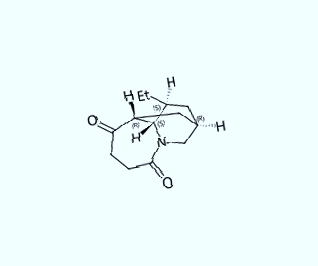 CC[C@H]1C[C@@H]2C[C@H]3C(=O)CCC(=O)N(C2)[C@@H]13